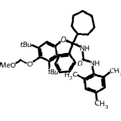 COCOc1c(C(C)(C)C)cc(OC(NC(=O)Nc2c(C)cc(C)cc2C)(c2ccccc2)C2CCCCCC2)cc1C(C)(C)C